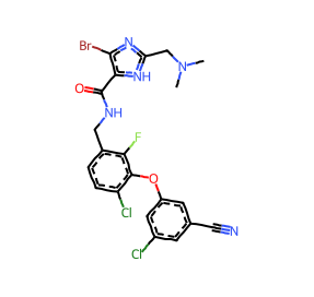 CN(C)Cc1nc(Br)c(C(=O)NCc2ccc(Cl)c(Oc3cc(Cl)cc(C#N)c3)c2F)[nH]1